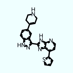 C1=C(c2ccc3[nH]nc(-c4nc5c(-c6cccs6)ccnc5[nH]4)c3c2)CCNC1